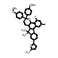 CCCCOc1ccc(C2(c3ccc(OC)cc3)C=Cc3c4c(c5cc(F)cc(F)c5c3O2)-c2ccc(-c3ccc(C)s3)cc2C4(C)C)cc1